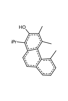 Cc1c(O)c(C(C)C)c2ccc3cccc(C)c3c2c1C